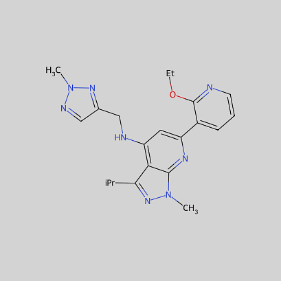 CCOc1ncccc1-c1cc(NCc2cnn(C)n2)c2c(C(C)C)nn(C)c2n1